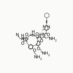 Cc1nc(C#CC2CCCCC2)ncc1C(=O)N[C@@H](CCN)C(=O)N(C)[C@@H]1C(=O)N[C@@H](C)C(=O)N[C@H](C(=O)NCC#N)Cc2ccc(OCCN)c(c2)-c2cc1ccc2OCCN